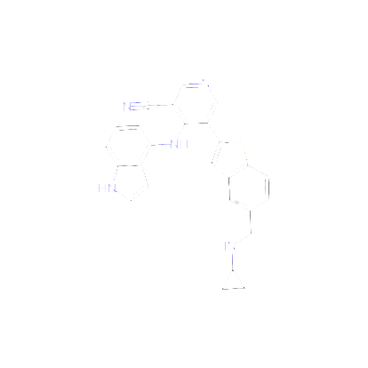 N#Cc1cncc(-c2cc3cc(CNC4CC4)ccc3s2)c1Nc1cccc2[nH]ccc12